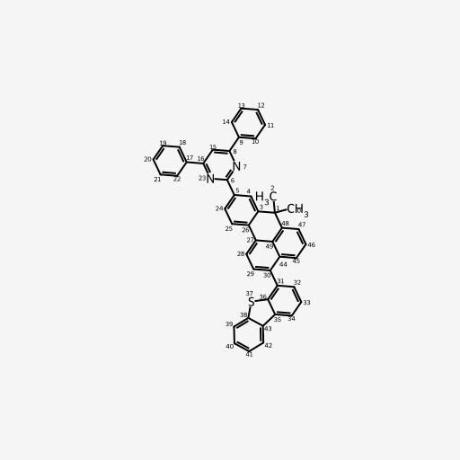 CC1(C)c2cc(-c3nc(-c4ccccc4)cc(-c4ccccc4)n3)ccc2-c2ccc(-c3cccc4c3sc3ccccc34)c3cccc1c23